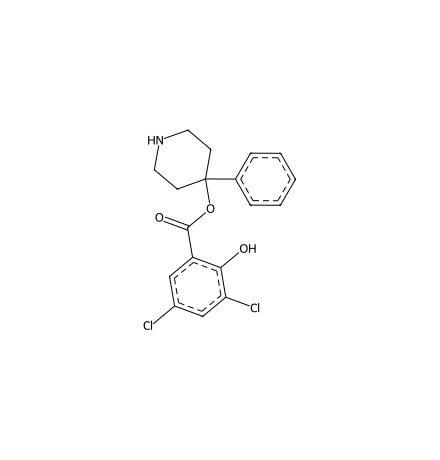 O=C(OC1(c2ccccc2)CCNCC1)c1cc(Cl)cc(Cl)c1O